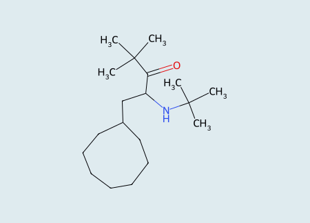 CC(C)(C)NC(CC1CCCCCCC1)C(=O)C(C)(C)C